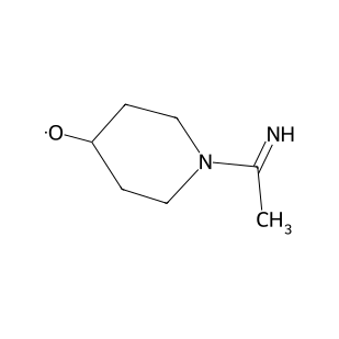 CC(=N)N1CCC([O])CC1